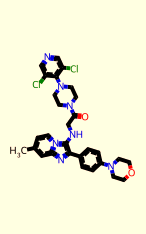 Cc1ccn2c(NCC(=O)N3CCN(c4c(Cl)cncc4Cl)CC3)c(-c3ccc(N4CCOCC4)cc3)nc2c1